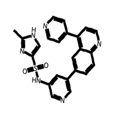 Cc1nc(S(=O)(=O)Nc2cncc(-c3ccc4nccc(-c5ccncc5)c4c3)c2)c[nH]1